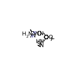 C=C/C=C(\N=C(\C)N)N1CCN(Cc2cc(CNc3nccs3)cc(OC(C)C)c2)CC1